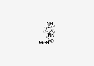 CNC(=O)Cn1ncc2cc(N)ccc21